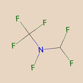 FC(F)N(F)C(F)(F)F